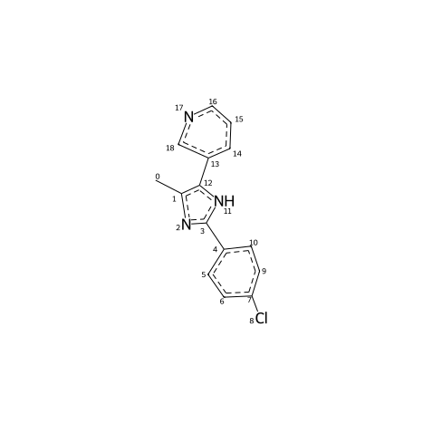 Cc1nc(-c2ccc(Cl)cc2)[nH]c1-c1cccnc1